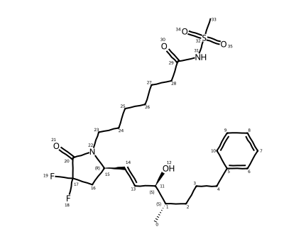 C[C@@H](CCCc1ccccc1)[C@H](O)C=C[C@H]1CC(F)(F)C(=O)N1CCCCCCC(=O)NS(C)(=O)=O